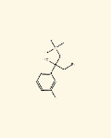 Cc1cccc(C(O)(CBr)C[Si](C)(C)C)c1